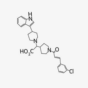 O=C(O)C(C1CCN(C(=O)C=Cc2cccc(Cl)c2)CC1)N1CCC(c2c[nH]c3ccccc23)CC1